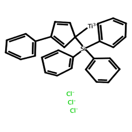 [Cl-].[Cl-].[Cl-].[Ti+3][C]1([Si](c2ccccc2)(c2ccccc2)c2ccccc2)C=CC(c2ccccc2)=C1